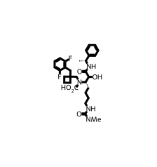 CNC(=O)NCCCC[C@@H](C(O)C(=O)N[C@H](C)c1ccccc1)N(CC1(Cc2c(F)cccc2F)CCC1)C(=O)O